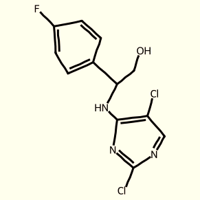 OCC(Nc1nc(Cl)ncc1Cl)c1ccc(F)cc1